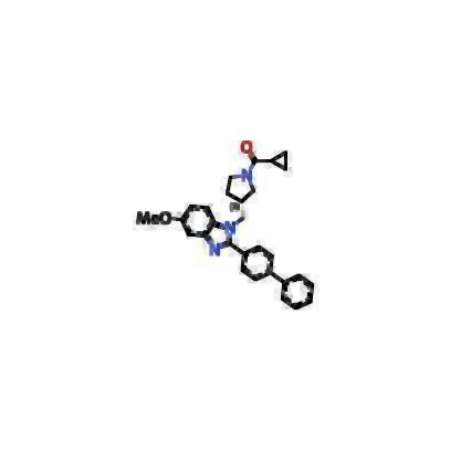 COc1ccc2c(c1)nc(-c1ccc(-c3ccccc3)cc1)n2C[C@@H]1CCN(C(=O)C2CC2)C1